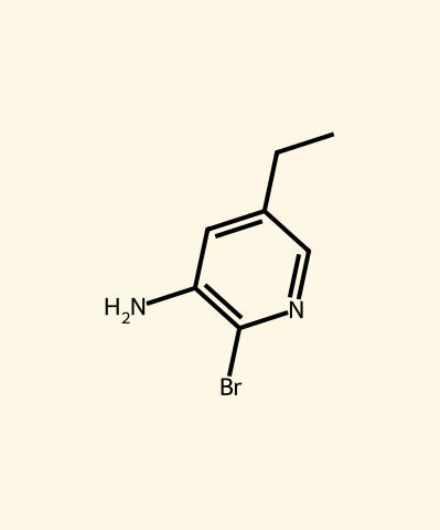 CCc1cnc(Br)c(N)c1